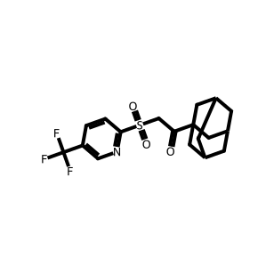 O=C(CS(=O)(=O)c1ccc(C(F)(F)F)cn1)C12CC3CC(CC(C3)C1)C2